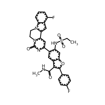 CCS(=O)(=O)Nc1cc2oc(-c3ccc(F)cc3)c(C(=O)NC)c2cc1-c1cc2n(c(=O)n1)CCn1c-2cc2c(F)cccc21